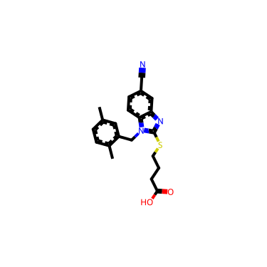 Cc1ccc(C)c(Cn2c(SCCCC(=O)O)nc3cc(C#N)ccc32)c1